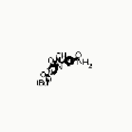 CN1C(=O)C2(CCN(C(=O)OC(C)(C)C)CC2)N=C1c1ccc(C(N)=O)cc1